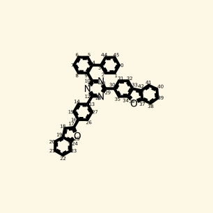 c1ccc(-c2ccccc2-c2nc(-c3ccc(-c4cc5ccccc5o4)cc3)nc(-c3ccc4c(c3)oc3ccccc34)n2)cc1